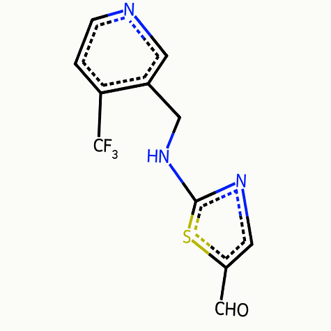 O=Cc1cnc(NCc2cnccc2C(F)(F)F)s1